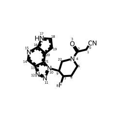 N#CCC(=O)N1CCC(F)C(n2nnc3cnc4[nH]ccc4c32)C1